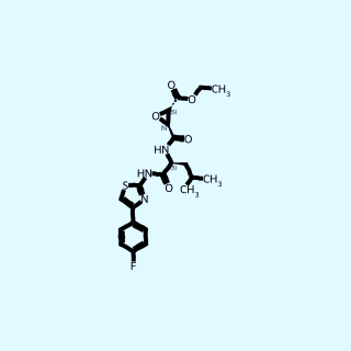 CCOC(=O)[C@H]1O[C@@H]1C(=O)N[C@@H](CC(C)C)C(=O)Nc1nc(-c2ccc(F)cc2)cs1